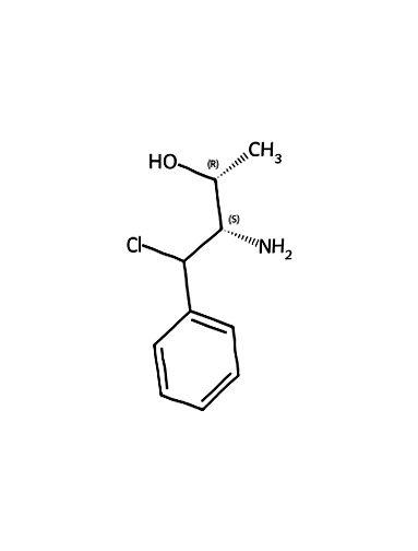 C[C@@H](O)[C@H](N)C(Cl)c1ccccc1